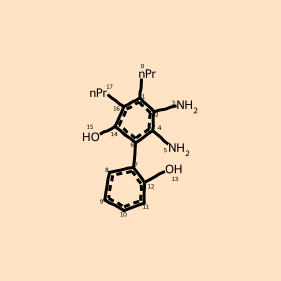 CCCc1c(N)c(N)c(-c2ccccc2O)c(O)c1CCC